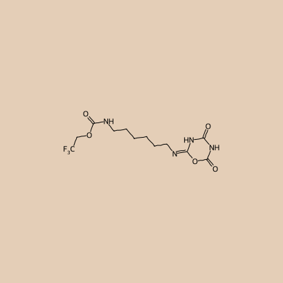 O=C(NCCCCCCN=c1[nH]c(=O)[nH]c(=O)o1)OCC(F)(F)F